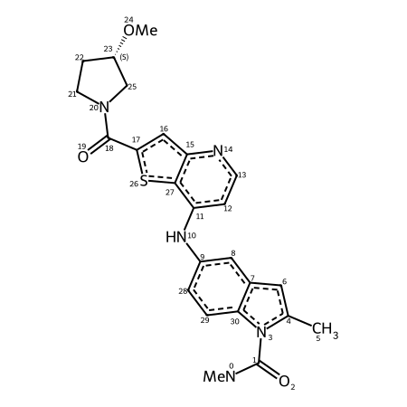 CNC(=O)n1c(C)cc2cc(Nc3ccnc4cc(C(=O)N5CC[C@H](OC)C5)sc34)ccc21